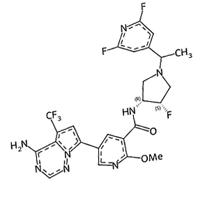 COc1ncc(-c2cc(C(F)(F)F)c3c(N)ncnn23)cc1C(=O)N[C@@H]1CN(C(C)c2cc(F)nc(F)c2)C[C@@H]1F